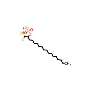 CCCCCCCCCCCCCCCCC(OP(=O)(O)O)C(=S)S